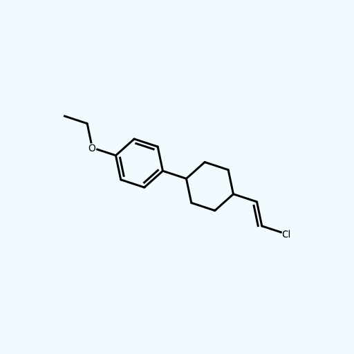 CCOc1ccc(C2CCC(/C=C/Cl)CC2)cc1